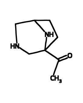 CC(=O)C12CCC(CNC1)N2